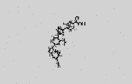 CNc1cc(-c2ccc3cc(C#N)cnn23)ncc1-c1nnc(C23CCC(C(=O)O)(CC2)CC3)s1